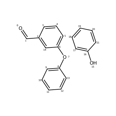 O=Cc1cccc(Oc2ccccc2)c1.Oc1ccccc1